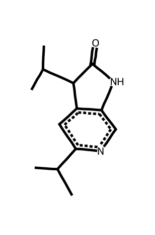 CC(C)c1cc2c(cn1)NC(=O)C2C(C)C